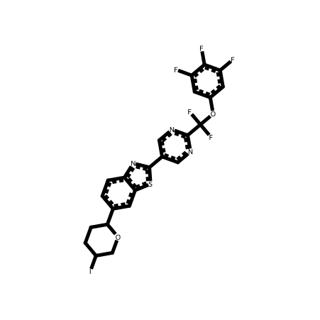 Fc1cc(OC(F)(F)c2ncc(-c3nc4ccc(C5CCC(I)CO5)cc4s3)cn2)cc(F)c1F